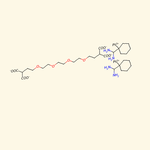 NC(N)[C]1([Pt+2])CCCCC1.NC(N)[C]1([Pt+2])CCCCC1.O=C([O-])C(CCOCCOCCOCCOCCC(C(=O)[O-])C(=O)[O-])C(=O)[O-]